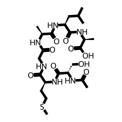 CSCC[C@H](NC(=O)[C@H](CO)NC(C)=O)C(=O)NCC(=O)N[C@@H](C)C(=O)N[C@@H](CC(C)C)C(=O)N[C@@H](C)C(=O)O